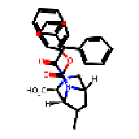 CC1C[C@H]2CN(C(=O)C(c3ccccc3)c3ccccc3)[C@H](C(=O)O)[C@@H]1N2C(=O)Oc1ccccc1